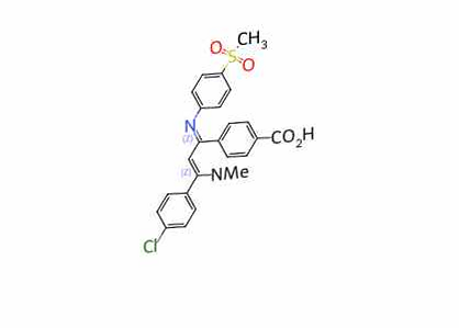 CN/C(=C\C(=N\c1ccc(S(C)(=O)=O)cc1)c1ccc(C(=O)O)cc1)c1ccc(Cl)cc1